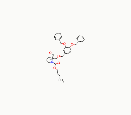 CCCCOC(=O)N1CCC[C@@]1(C=O)COCc1ccc(OCc2ccccc2)c(OCc2ccccc2)c1